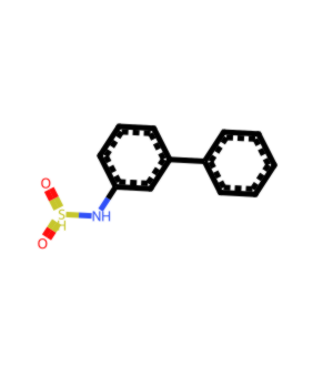 O=[SH](=O)Nc1cccc(-c2ccccc2)c1